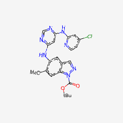 COc1cc2c(cnn2C(=O)OC(C)(C)C)cc1Nc1cc(Nc2cc(Cl)ccn2)ncn1